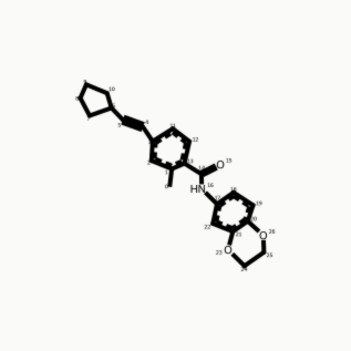 Cc1cc(C#CC2CCCC2)ccc1C(=O)Nc1ccc2c(c1)OCCO2